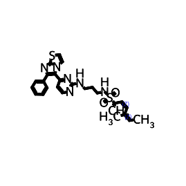 C=C(/C=C\C(C)=C/C)S(=O)(=O)NCCCNc1nccc(-c2c(-c3ccccc3)nc3sccn23)n1